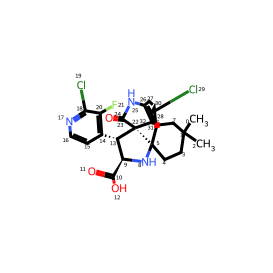 CC1(C)CCC2(CC1)N[C@@H](C(=O)O)[C@H](c1ccnc(Cl)c1F)[C@]21C(=O)Nc2cc(Cl)ccc21